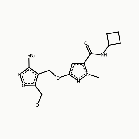 CCCCc1noc(CO)c1COc1cc(C(=O)NC2CCC2)n(C)n1